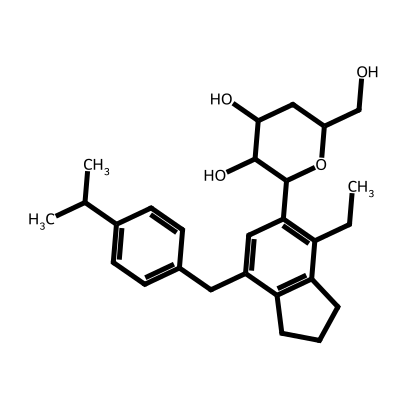 CCc1c(C2OC(CO)CC(O)C2O)cc(Cc2ccc(C(C)C)cc2)c2c1CCC2